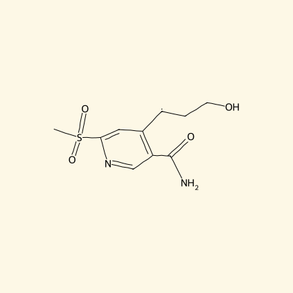 CS(=O)(=O)c1cc([CH]CCO)c(C(N)=O)cn1